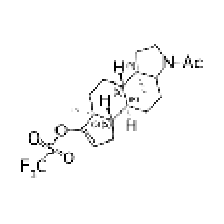 CC(=O)N1CC[C@@]2(C)C1CC[C@@H]1[C@@H]2CC[C@]2(C)C(OS(=O)(=O)C(F)(F)F)=CC[C@@H]12